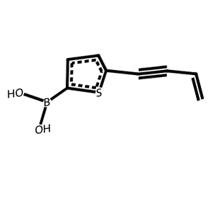 C=CC#Cc1ccc(B(O)O)s1